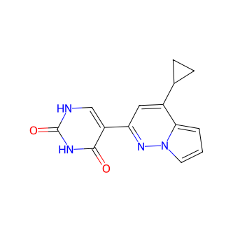 O=c1[nH]cc(-c2cc(C3CC3)c3cccn3n2)c(=O)[nH]1